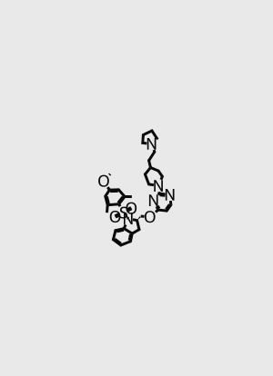 COc1cc(C)c(S(=O)(=O)N2c3ccccc3C[C@H]2COc2ccnc(N3CCC(CCN4CCCC4)CC3)n2)c(C)c1